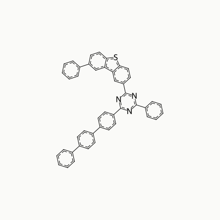 c1ccc(-c2ccc(-c3ccc(-c4nc(-c5ccccc5)nc(-c5ccc6sc7ccc(-c8ccccc8)cc7c6c5)n4)cc3)cc2)cc1